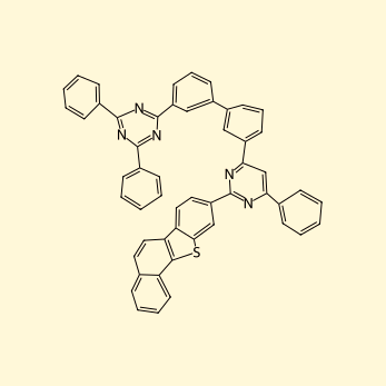 c1ccc(-c2cc(-c3cccc(-c4cccc(-c5nc(-c6ccccc6)nc(-c6ccccc6)n5)c4)c3)nc(-c3ccc4c(c3)sc3c5ccccc5ccc43)n2)cc1